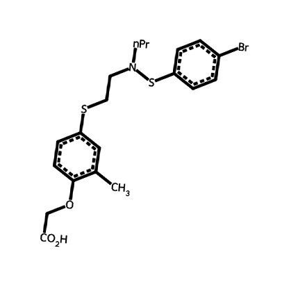 CCCN(CCSc1ccc(OCC(=O)O)c(C)c1)Sc1ccc(Br)cc1